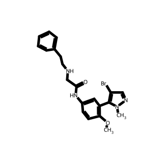 COc1ccc(NC(=O)CNCCc2ccccc2)cc1-c1c(Br)cnn1C